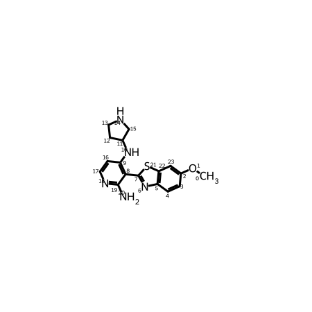 COc1ccc2nc(-c3c(NC4CCNC4)ccnc3N)sc2c1